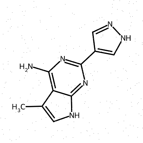 Cc1c[nH]c2nc(-c3cn[nH]c3)nc(N)c12